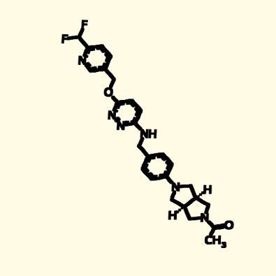 CC(=O)N1C[C@@H]2CN(c3ccc(CNc4ccc(OCc5ccc(C(F)F)nc5)nn4)cc3)C[C@@H]2C1